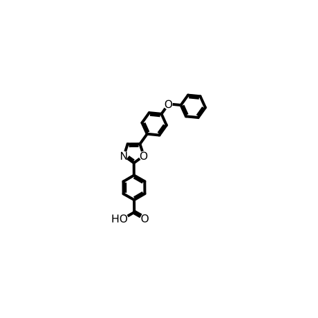 O=C(O)c1ccc(-c2ncc(-c3ccc(Oc4ccccc4)cc3)o2)cc1